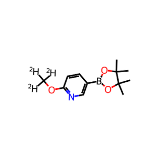 [2H]C([2H])([2H])Oc1ccc(B2OC(C)(C)C(C)(C)O2)cn1